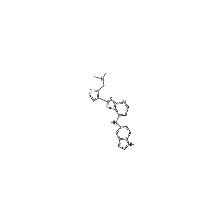 CN(C)Cc1cscc1-c1cc2c(Nc3ccc4[nH]ccc4c3)ccnc2s1